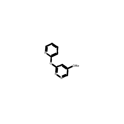 COc1cnnc(Oc2ccccn2)c1